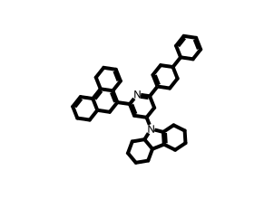 C1=CCC(C2CC=C(C3=NC(C4=C5C=CCCC5=C5C=CCCC5C4)=CC(N4C5=C(CCCC5)C5CCCCC54)C3)CC2)C=C1